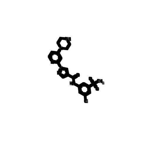 CS(=O)(=O)c1cc(Cl)cc(NC(=O)c2cnn(-c3cc(N4CCNCC4)ccn3)c2)c1